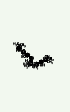 Cc1cc(-c2ccc(-c3cnc(N(C)C4CC(C)(C)NC(C)(Cn5cc(-c6ccc(-c7cnc(N8C[C@H]9CC[C@H](N(C)C)[C@H]9C8)nn7)c(O)c6)cn5)C4)nn3)c(O)c2)nc(O)c1N